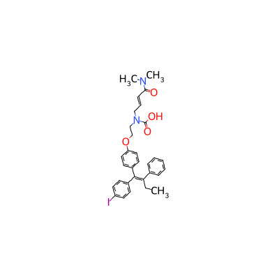 CC/C(=C(\c1ccc(I)cc1)c1ccc(OCCN(C/C=C/C(=O)N(C)C)C(=O)O)cc1)c1ccccc1